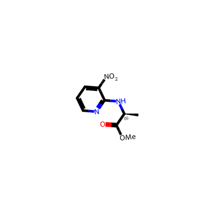 COC(=O)[C@H](C)Nc1ncccc1[N+](=O)[O-]